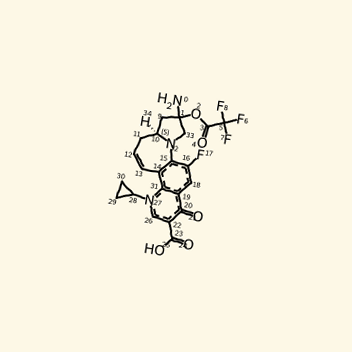 NC1(OC(=O)C(F)(F)F)C[C@@H]2CC=Cc3c(c(F)cc4c(=O)c(C(=O)O)cn(C5CC5)c34)N2C1